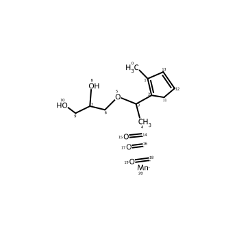 CC1=C(C(C)OCC(O)CO)CC=C1.[C]=O.[C]=O.[C]=O.[Mn]